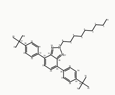 CCCCCCCCCn1nc2c(-c3ccc(C(C)(C)C)cc3)ccc(-c3ccc(C(C)(C)C)cc3)c2n1